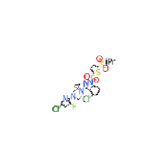 CC(C)S(=O)(=O)c1ccc(S(=O)(=O)n2nc(N3CCN(c4ncc(Cl)cc4F)CC34CC4)c3c(Cl)cccc32)s1